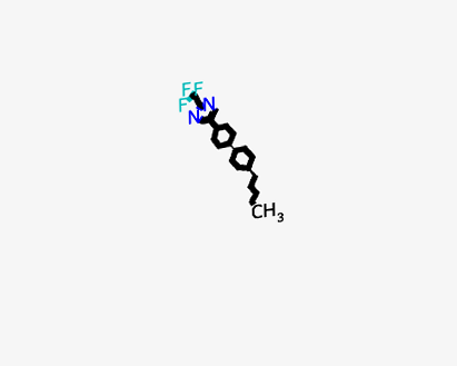 CCCCC[C@H]1CC[C@H](C2CCC(c3cnc(C(F)(F)F)nc3)CC2)CC1